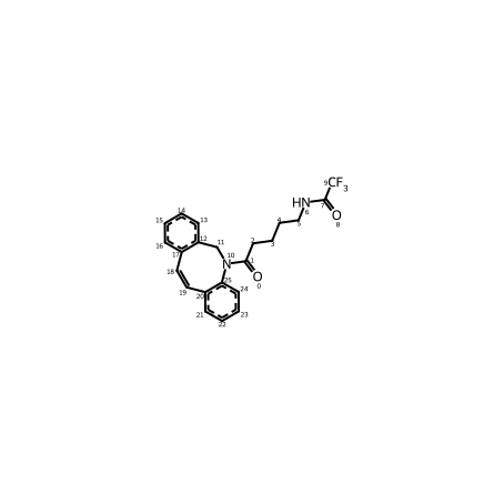 O=C(CCCCNC(=O)C(F)(F)F)N1Cc2ccccc2C=Cc2ccccc21